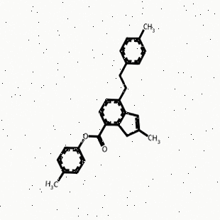 CC1=Cc2c(CCc3ccc(C)cc3)ccc(C(=O)Oc3ccc(C)cc3)c2C1